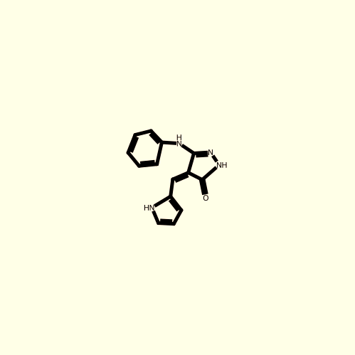 O=C1NN=C(Nc2ccccc2)C1=Cc1ccc[nH]1